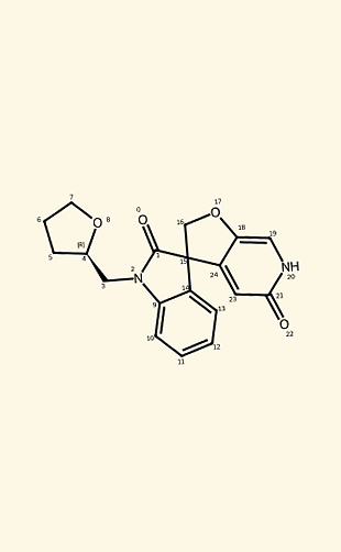 O=C1N(C[C@H]2CCCO2)c2ccccc2C12COc1c[nH]c(=O)cc12